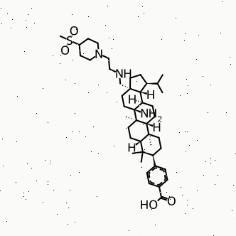 CC(C)[C@@H]1CC[C@]2(CNCCN3CCC(S(C)(=O)=O)CC3)CC[C@]3(N)[C@H](CC[C@@H]4[C@@]5(C)CC[C@@H](c6ccc(C(=O)O)cc6)C(C)(C)[C@@H]5CC[C@]43C)[C@@H]12